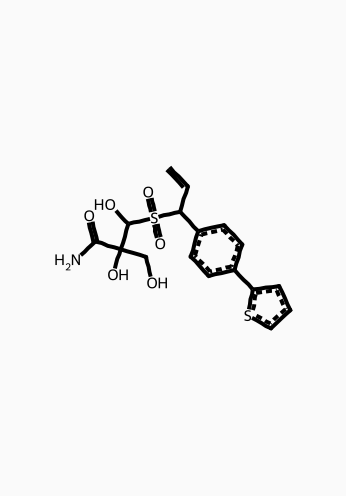 C=CC(c1ccc(-c2cccs2)cc1)S(=O)(=O)C(O)C(O)(CO)C(N)=O